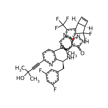 Cc1c(-c2ccc(C#CC(C)(C)O)nc2[C@H](Cc2cc(F)cc(F)c2)NC(=O)Cn2nc(C(F)(F)F)c3c2C(F)(F)[C@@H]2C=C[C@H]32)ccc2n[nH]c(=O)n12